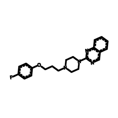 Fc1ccc(OCCCN2CCN(c3ncc4ccccc4n3)CC2)cc1